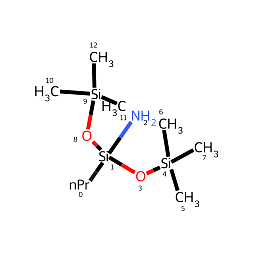 CCC[Si](N)(O[Si](C)(C)C)O[Si](C)(C)C